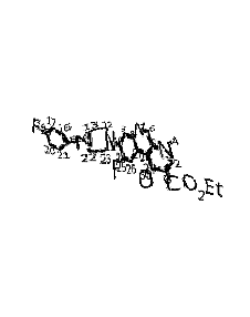 CCOC(=O)c1cn(C)c2cnc3cc(N4CCN(c5ccc(F)cc5)CC4)c(F)cc3c2c1=O